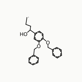 [CH2]CCC(O)c1ccc(OCc2ccccc2)c(OCc2ccccc2)c1